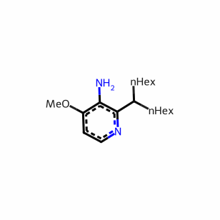 CCCCCCC(CCCCCC)c1nccc(OC)c1N